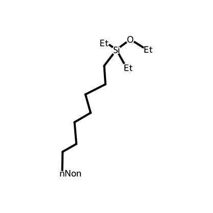 CCCCCCCCCCCCCCCC[Si](CC)(CC)OCC